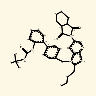 CCCCc1nc2ncc(N3C(=O)C4CCCCC4C3=O)cc2n1Cc1ccc(-c2ccccc2OC(=O)OC(C)(C)C)cc1